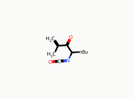 C=C(C)C(=O)C(CCCC)N=C=O